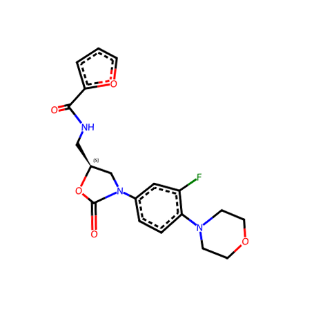 O=C(NC[C@H]1CN(c2ccc(N3CCOCC3)c(F)c2)C(=O)O1)c1ccco1